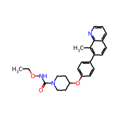 CCONC(=O)N1CCC(Oc2ccc(-c3ccc4cccnc4c3C)cc2)CC1